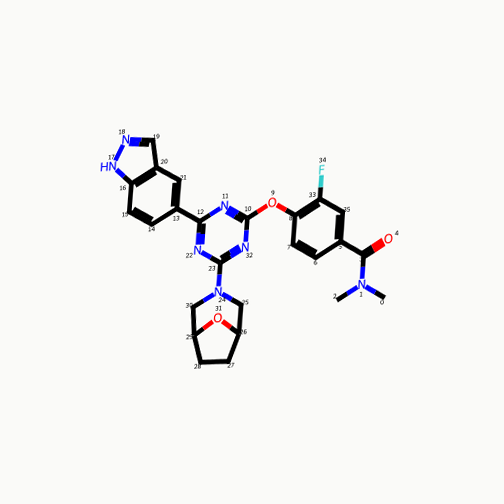 CN(C)C(=O)c1ccc(Oc2nc(-c3ccc4[nH]ncc4c3)nc(N3CC4CCC(C3)O4)n2)c(F)c1